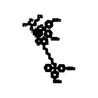 COc1ccc(C(OCCCCCCSc2ncnc3c2ncn3[C@H]2C[C@H](OP(OCCC#N)N(C(C)C)C(C)C)[C@@H](COC(c3ccccc3)(c3ccc(OC)cc3)c3ccc(OC)cc3)O2)(c2ccccc2)c2ccc(OC)cc2)cc1